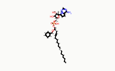 CCCCCCCCCCCCCCC#CC[C@H](COP(=O)(O)OC[C@H]1O[C@@](C)(c2ccc3c(N)ncnn23)[C@H](O)[C@@H]1O)OCc1ccccc1